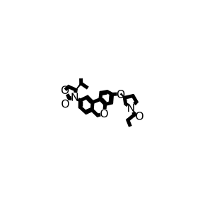 CCC(=O)N1CC[C@H](Oc2ccc3c(c2)OCc2ccc(N4C(=O)OC[C@H]4C(C)C)cc2-3)C1